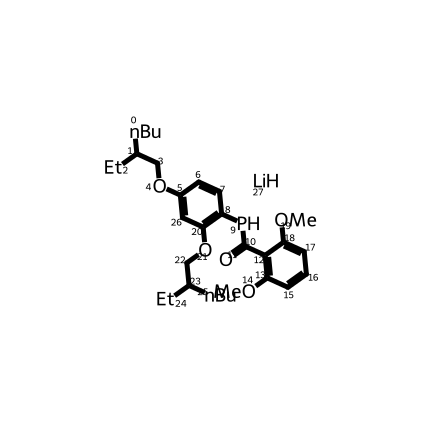 CCCCC(CC)COc1ccc(PC(=O)c2c(OC)cccc2OC)c(OCC(CC)CCCC)c1.[LiH]